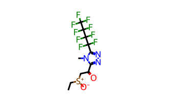 CC[S+]([O-])CC(=O)c1nnc(C(F)(F)C(F)(F)C(F)(F)C(F)(F)F)n1C